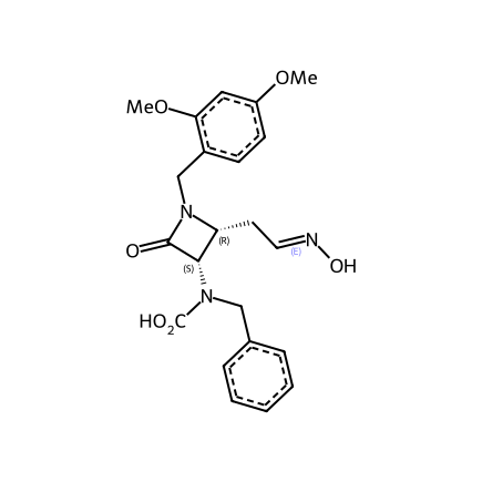 COc1ccc(CN2C(=O)[C@@H](N(Cc3ccccc3)C(=O)O)[C@H]2C/C=N/O)c(OC)c1